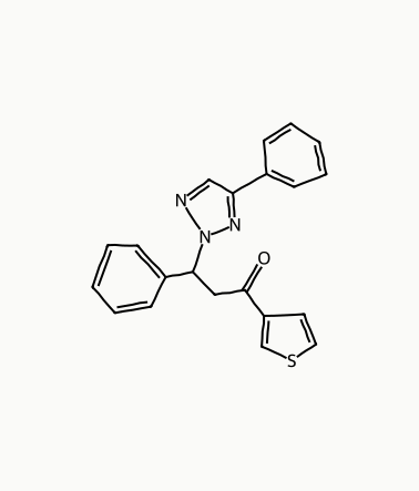 O=C(CC(c1ccccc1)n1ncc(-c2ccccc2)n1)c1ccsc1